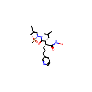 CC(C)C[C@@H](C(=O)NN(CC(C)C)S(C)(=O)=O)[C@H](CCCc1cccnc1)C(=O)NO